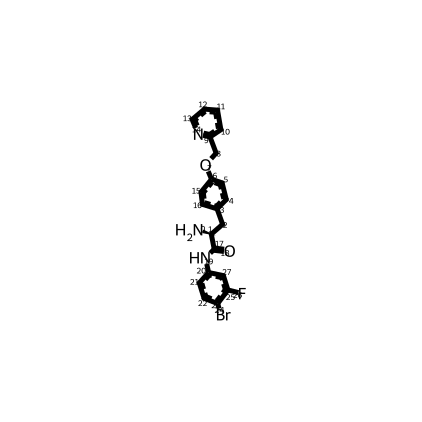 N[C@@H](Cc1ccc(OCc2ccccn2)cc1)C(=O)Nc1ccc(Br)c(F)c1